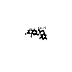 O=C(O)CC1COc2cc(F)cc(F)c2N1Cc1ccc2c(c1)NC(=O)CO2